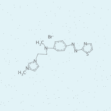 CN(CCn1cc[n+](C)c1)c1ccc(N=Nc2nccs2)cc1.[Br-]